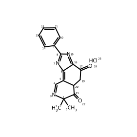 CC1(C)N=CC2=C3N=C(c4ccccc4)N=C3C(=O)CC2C1=O.Cl